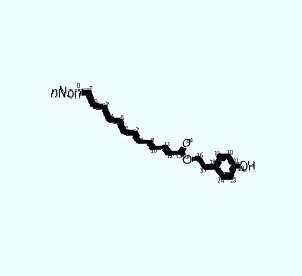 CCCCCCCCC/C=C/C=C/C=C/C=C/C=C/C=C/C(=O)OCCc1ccc(O)cc1